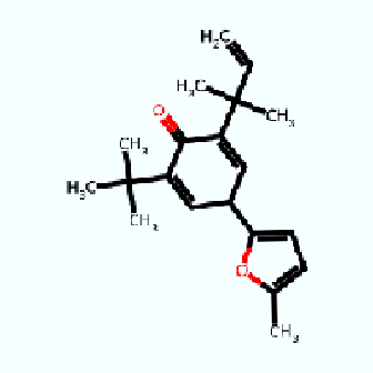 C=CC(C)(C)C1=CC(c2ccc(C)o2)C=C(C(C)(C)C)C1=O